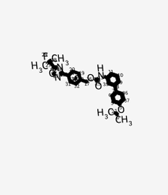 CC(C)Oc1ccc(-c2cccc(NC(=O)OCC34CCC(c5noc(C(C)(C)F)n5)(CC3)CC4)c2)cc1